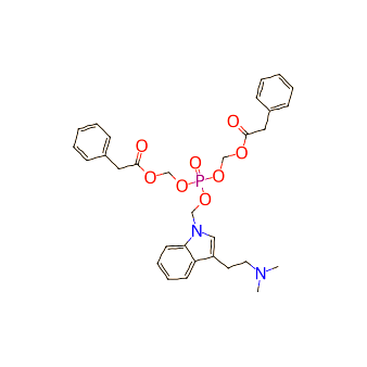 CN(C)CCc1cn(COP(=O)(OCOC(=O)Cc2ccccc2)OCOC(=O)Cc2ccccc2)c2ccccc12